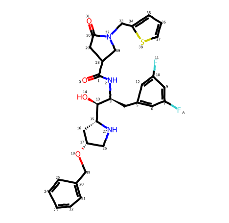 O=C(N[C@@H](Cc1cc(F)cc(F)c1)[C@H](O)[C@H]1C[C@@H](OCc2ccccc2)CN1)C1CC(=O)N(Cc2cccs2)C1